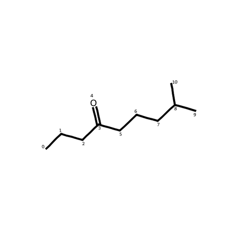 CCCC(=O)CCCC(C)C